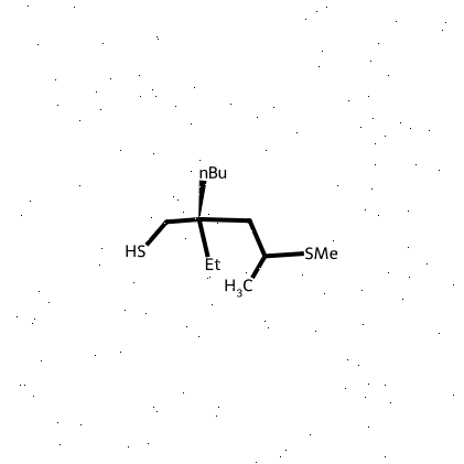 CCCC[C@@](CC)(CS)CC(C)SC